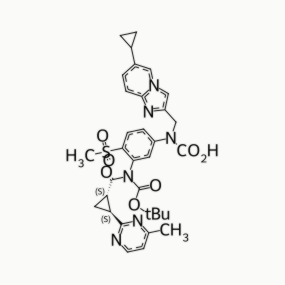 Cc1ccnc([C@H]2C[C@@H]2C(=O)N(C(=O)OC(C)(C)C)c2cc(N(Cc3cn4cc(C5CC5)ccc4n3)C(=O)O)ccc2S(C)(=O)=O)n1